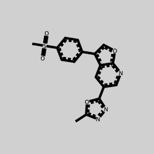 Cc1nnc(-c2cnc3occ(-c4ccc(S(C)(=O)=O)cc4)c3c2)o1